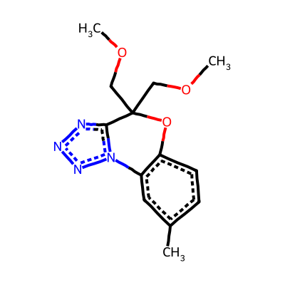 COCC1(COC)Oc2ccc(C)cc2-n2nnnc21